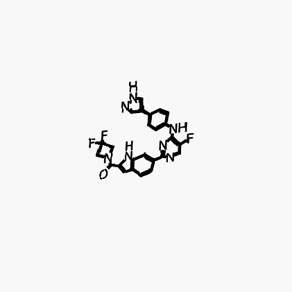 O=C(c1cc2ccc(-c3ncc(F)c(Nc4ccc(-c5cn[nH]c5)cc4)n3)cc2[nH]1)N1CC(F)(F)C1